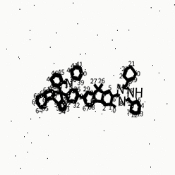 CC1C=C2C(=CC1C1=NC(c3ccccc3)NC(C3=CCCC=C3)=N1)C(C)(C)c1cc(-c3ccc4c(c3)N(c3ccccc3)c3ccccc3C43c4ccccc4-c4c3ccc3ccccc43)ccc12